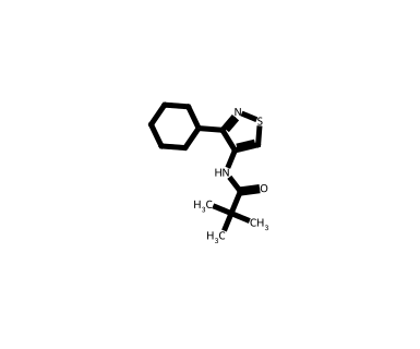 CC(C)(C)C(=O)Nc1csnc1C1CCCCC1